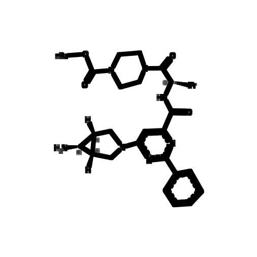 CCCCOC(=O)N1CCN(C(=O)[C@@H](NC(=O)c2cc(N3C[C@@H]4[C@H](N)[C@@H]4C3)nc(-c3ccccc3)n2)C(C)C)CC1